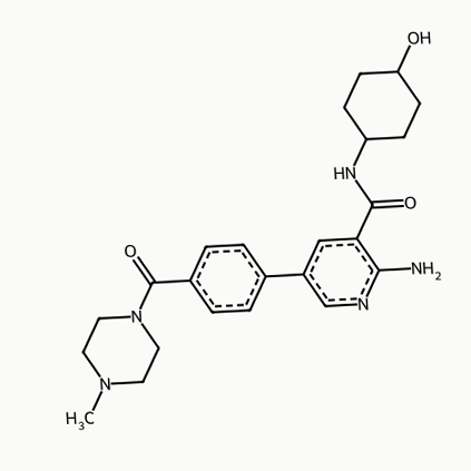 CN1CCN(C(=O)c2ccc(-c3cnc(N)c(C(=O)NC4CCC(O)CC4)c3)cc2)CC1